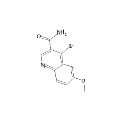 COc1ccc2ncc(C(N)=O)c(Br)c2n1